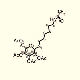 CC(=O)OC[C@H]1O[C@@H](SCCCCCCNC(=O)C(F)(F)F)[C@@H](OC(C)=O)[C@@H](OC(C)=O)[C@@H]1OC(C)=O